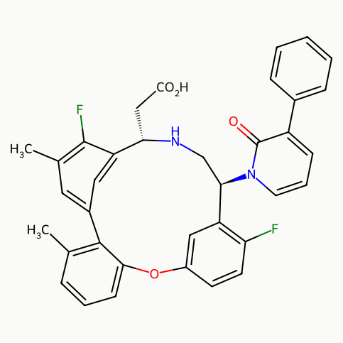 Cc1cc2cc(c1F)[C@H](CC(=O)O)NC[C@@H](n1cccc(-c3ccccc3)c1=O)c1cc(ccc1F)Oc1cccc(C)c1-2